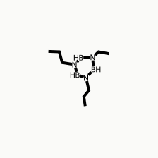 CCCN1BN(CC)BN(CCC)B1